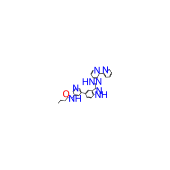 CCCC(=O)Nc1cncc(-c2ccc3[nH]nc(-c4nc5c(-c6ccccn6)nccc5[nH]4)c3c2)c1